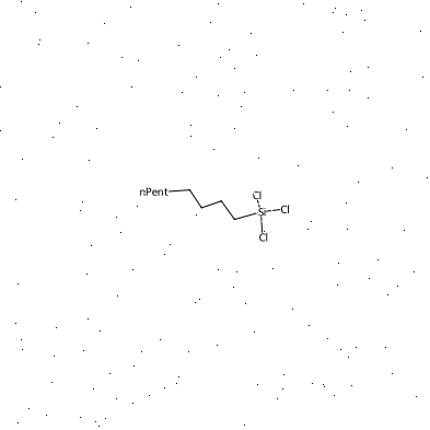 CCCCCCCCC[Si](Cl)(Cl)Cl